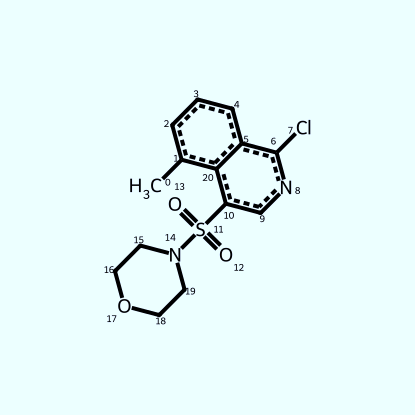 Cc1cccc2c(Cl)ncc(S(=O)(=O)N3CCOCC3)c12